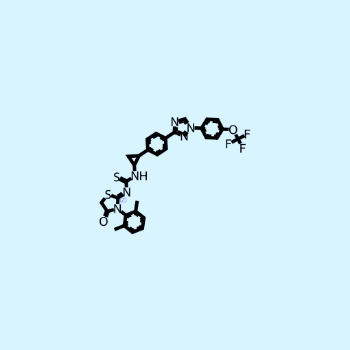 Cc1cccc(C)c1N1C(=O)CS/C1=N\C(=S)NC1CC1c1ccc(-c2ncn(-c3ccc(OC(F)(F)F)cc3)n2)cc1